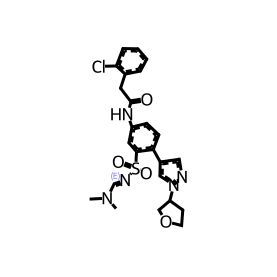 CN(C)/C=N/S(=O)(=O)c1cc(NC(=O)Cc2ccccc2Cl)ccc1-c1cnn(C2CCOC2)c1